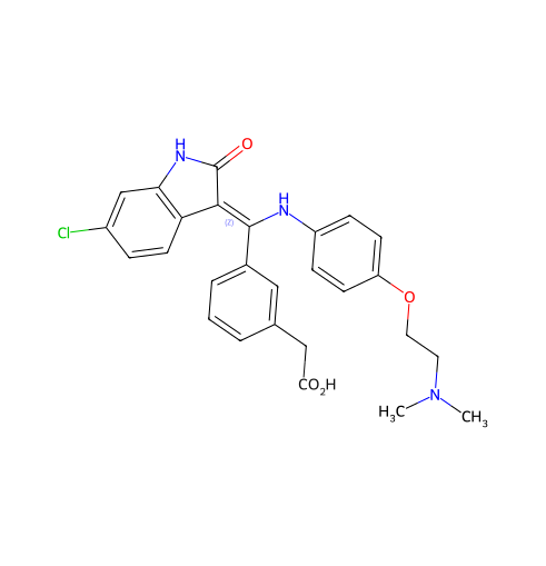 CN(C)CCOc1ccc(N/C(=C2\C(=O)Nc3cc(Cl)ccc32)c2cccc(CC(=O)O)c2)cc1